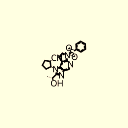 C[C@@H](O)c1nc2cnc3c(ccn3S(=O)(=O)c3ccccc3)c2n1[C@@H]1CCC[C@H]1C#N